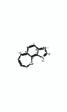 C1=CCSc2c3c(ccc2=C1)=NC=N3